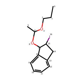 CCCOC(C)OC1c2ccccc2CC1I